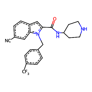 N#Cc1ccc2cc(C(=O)NC3CCNCC3)n(Cc3ccc(C(F)(F)F)cc3)c2c1